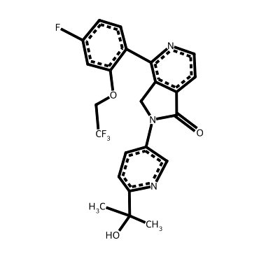 CC(C)(O)c1ccc(N2Cc3c(ccnc3-c3ccc(F)cc3OCC(F)(F)F)C2=O)cn1